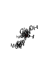 COc1cc(CN2CC[C@@H](N3CCC4(CCN(c5ccc(C(=O)NS(=O)(=O)c6ccc(NCC7CCC(C)(O)CC7)c([N+](=O)[O-])c6)c(N6c7cc8cc[nH]c8nc7O[C@H]7COCC[C@@H]76)c5)CC4)CC3)[C@H](c3ccccc3C(C)C)C2)cnc1N1CCOCC1